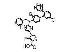 O=C(O)c1scc(-c2c[nH]c(C(Cc3ccccc3)c3ccc(-c4cc(Cl)ccc4-n4cnnn4)c[n+]3[O-])n2)c1F